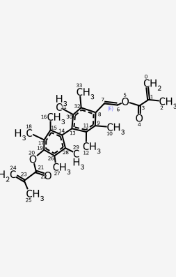 C=C(C)C(=O)O/C=C/c1c(C)c(C)c(-c2c(C)c(C)c(OC(=O)C(=C)C)c(C)c2C)c(C)c1C